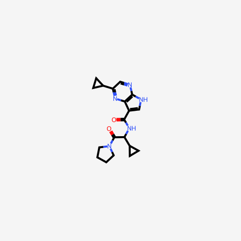 O=C(NC(C(=O)N1CCCC1)C1CC1)c1c[nH]c2ncc(C3CC3)nc12